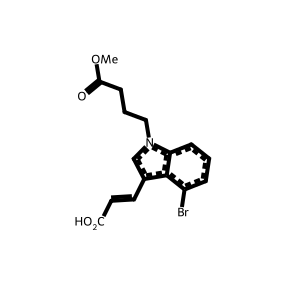 COC(=O)CCCn1cc(C=CC(=O)O)c2c(Br)cccc21